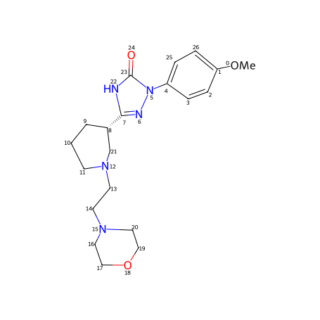 COc1ccc(-n2nc([C@H]3CCCN(CCN4CCOCC4)C3)[nH]c2=O)cc1